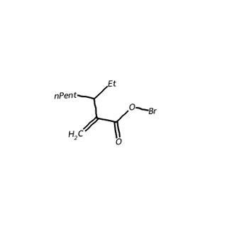 C=C(C(=O)OBr)C(CC)CCCCC